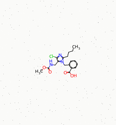 CCCCc1nc(Cl)c(CNC(=O)OC)n1Cc1ccccc1C(=O)O